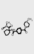 CN1CCN(C(=O)c2ccc(C(=O)NC3(C(=O)N(C)C#N)CCCCC3)cc2)CC1